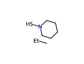 CCC.SN1CCCCC1